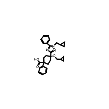 O=C(O)[C@]1(c2ccccc2)CC[C@@](OCC2CC2)(c2nc(-c3ccccc3)n(CC3CC3)n2)CC1